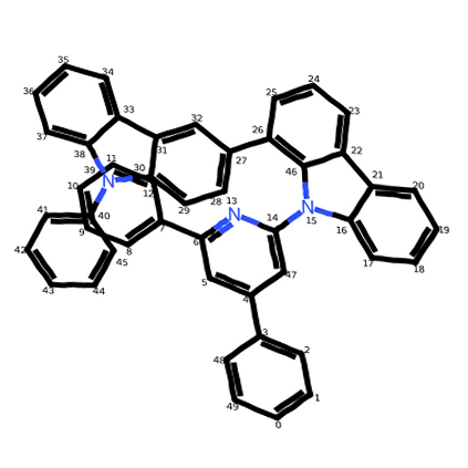 c1ccc(-c2cc(-c3ccccc3)nc(-n3c4ccccc4c4cccc(-c5ccc6c(c5)c5ccccc5n6-c5ccccc5)c43)c2)cc1